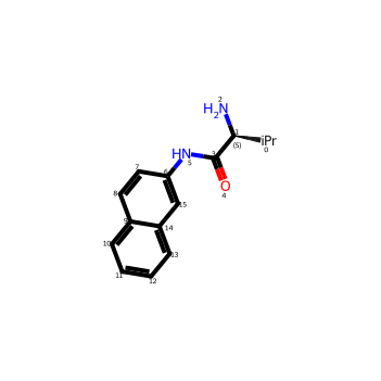 CC(C)[C@H](N)C(=O)Nc1ccc2ccccc2c1